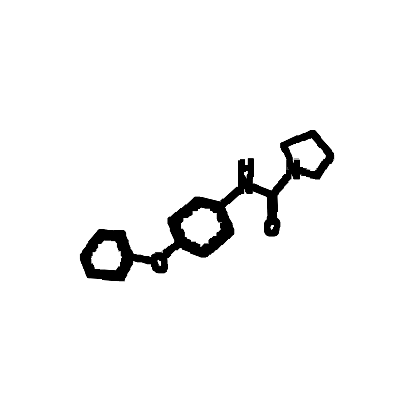 O=C(Nc1ccc(Oc2ccccc2)cc1)N1CCCC1